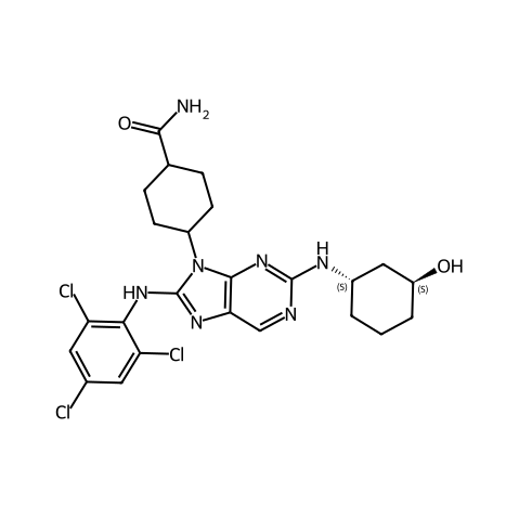 NC(=O)C1CCC(n2c(Nc3c(Cl)cc(Cl)cc3Cl)nc3cnc(N[C@H]4CCC[C@H](O)C4)nc32)CC1